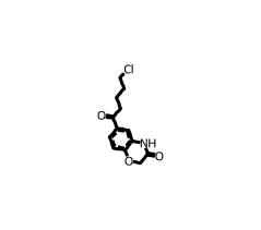 O=C1COc2ccc(C(=O)CCCCCl)cc2N1